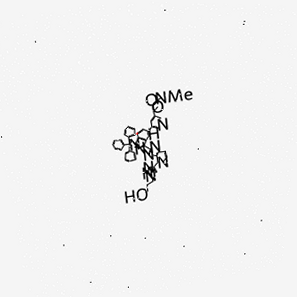 CNC(=O)OCc1cncc(-c2ccc3c(c2)c(-c2nc4c(-c5cn(CCCO)nn5)nccc4[nH]2)nn3C(c2ccccc2)(c2ccccc2)c2ccccc2)c1